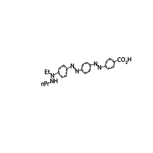 CCCNN(CC)c1ccc(N=Nc2ccc(N=Nc3ccc(C(=O)O)cc3)cc2)cc1